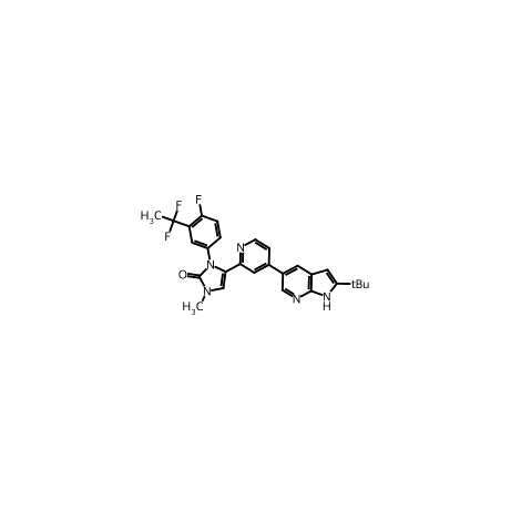 Cn1cc(-c2cc(-c3cnc4[nH]c(C(C)(C)C)cc4c3)ccn2)n(-c2ccc(F)c(C(C)(F)F)c2)c1=O